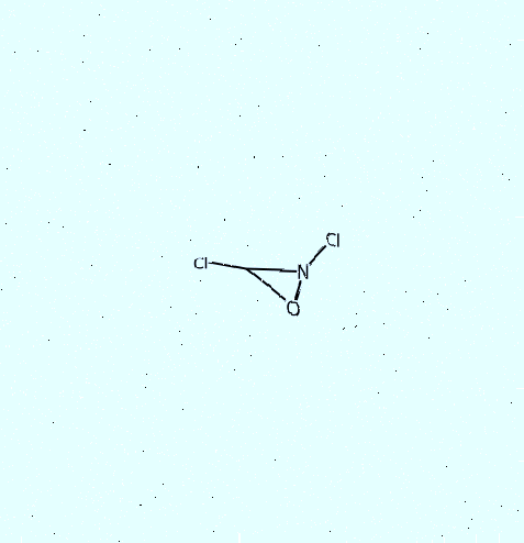 ClC1ON1Cl